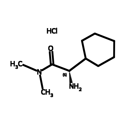 CN(C)C(=O)[C@@H](N)C1CCCCC1.Cl